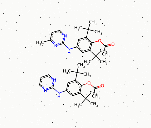 CC(=O)Oc1c(C(C)(C)C)cc(Nc2nccc(C)n2)cc1C(C)(C)C.CC(=O)Oc1c(C(C)(C)C)cc(Nc2ncccn2)cc1C(C)(C)C